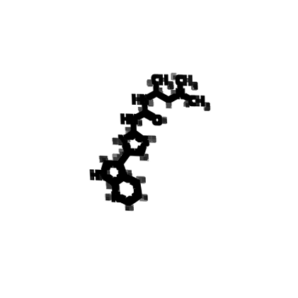 CC(CN(C)C)NC(=O)Nc1nc(-c2c[nH]c3ncccc23)cs1